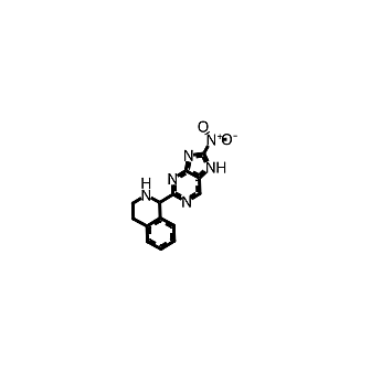 O=[N+]([O-])c1nc2nc(C3NCCc4ccccc43)ncc2[nH]1